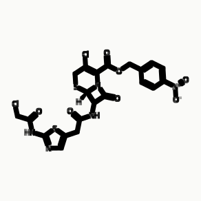 O=C(CCl)Nc1ncc(CC(=O)NC2C(=O)N3C(C(=O)OCc4ccc([N+](=O)[O-])cc4)=C(Cl)CS[C@@H]23)s1